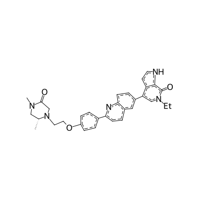 CCn1cc(-c2ccc3nc(-c4ccc(OCCN5CC(=O)N(C)C[C@H]5C)cc4)ccc3c2)c2cc[nH]c2c1=O